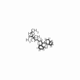 CCOC(=P)C(C)(C)CCCCC(c1ccccc1Cl)N1CCc2sccc2C1